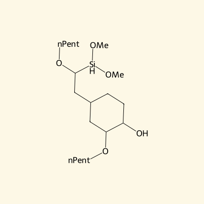 CCCCCOC1CC(CC(OCCCCC)[SiH](OC)OC)CCC1O